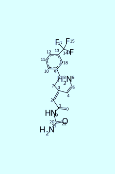 C=C(/C=C(\C=C/N)CCc1cccc(C(F)(F)F)c1)NC(N)=O